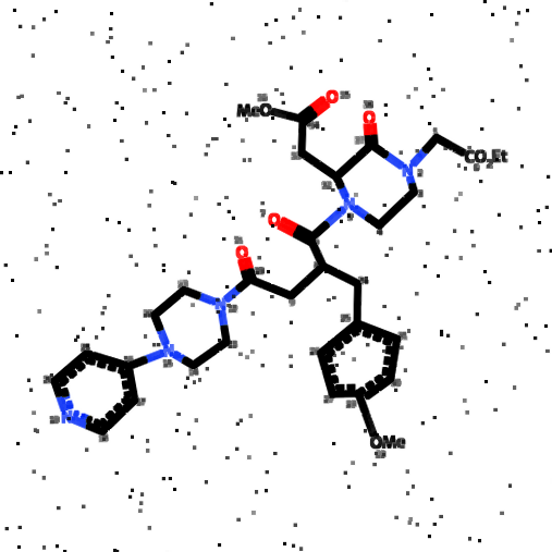 CCOC(=O)CN1CCN(C(=O)C(CC(=O)N2CCN(c3ccncc3)CC2)Cc2ccc(OC)cc2)C(CC(=O)OC)C1=O